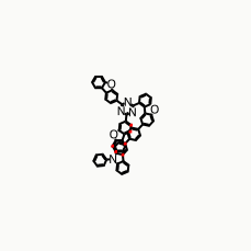 c1ccc(-n2c3ccccc3c3cc(-c4ccc(-c5ccc6oc7cccc(-c8nc(-c9ccc%10c(c9)oc9ccccc9%10)nc(-c9ccc%10c(c9)oc9ccccc9%10)n8)c7c6c5)cc4)ccc32)cc1